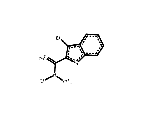 C=C(c1sc2ccccc2c1CC)N(C)CC